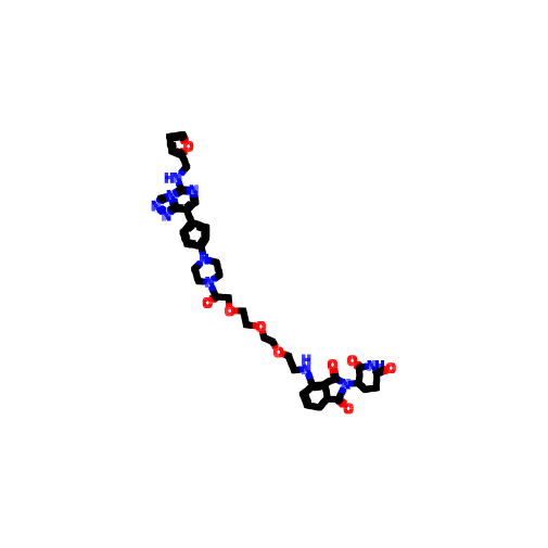 O=C1CCC(N2C(=O)C3=C(NCCOCCOCCOCC(=O)N4CCN(c5ccc(-c6cnc(NCc7ccco7)n7cnnc67)cc5)CC4)C=CCC3C2=O)C(=O)N1